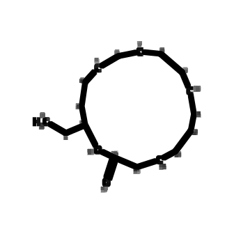 CCC1CCCCCCCCCCCCCC(=O)O1